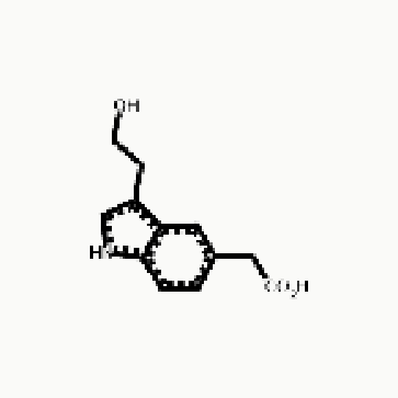 O=C(O)Cc1ccc2[nH]cc(CCO)c2c1